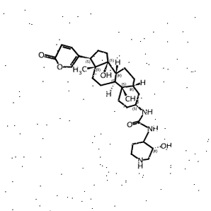 C[C@]12CC[C@H](NC(=O)NC3CCNC[C@H]3O)C[C@H]1CC[C@@H]1[C@@H]2CC[C@]2(C)[C@@H](c3ccc(=O)oc3)CC[C@]12O